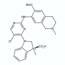 COc1cc2c(cc1Nc1ncc(Cl)c(N3C[C@@](C)(C(=O)O)c4ccccc43)n1)CN(C)CC2